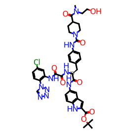 CN(CCO)C(=O)C1CCN(C(=O)Nc2ccc(C[C@H](NC(=O)C(=O)Nc3cc(Cl)ccc3-n3cnnn3)C(=O)Nc3ccc4[nH]c(C(=O)OC(C)(C)C)cc4c3)cc2)CC1